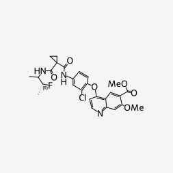 COC(=O)c1cc2c(Oc3ccc(NC(=O)C4(C(=O)NC(C)[C@@H](C)F)CC4)cc3Cl)ccnc2cc1OC